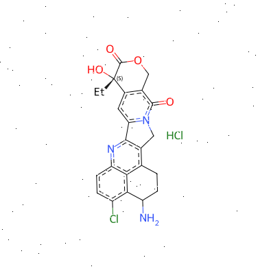 CC[C@@]1(O)C(=O)OCc2c1cc1n(c2=O)Cc2c-1nc1ccc(Cl)c3c1c2CCC3N.Cl